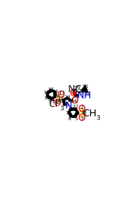 CS(=O)(=O)c1cccc(N2C[C@H](S(=O)(=O)c3ccccc3C(F)(F)F)C[C@@H]2OC(=O)NC2(C#N)CC2)c1